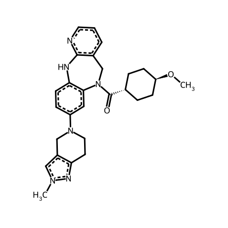 CO[C@H]1CC[C@H](C(=O)N2Cc3cccnc3Nc3ccc(N4CCc5nn(C)cc5C4)cc32)CC1